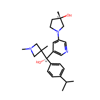 CC(C)c1ccc([C@](O)(c2cncc(N3CC[C@](C)(O)C3)c2)C2(C)CN(C)C2)cc1